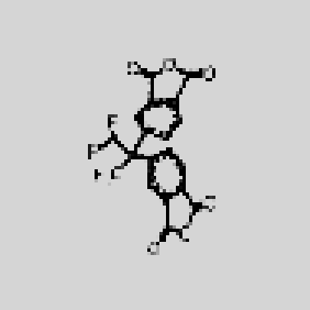 O=C1OC(=O)c2cc(C(c3ccc4c(c3)C(=O)OC4=O)(C(F)F)C(F)(F)F)ccc21